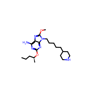 CCC[C@H](C)Oc1nc(N)c2nc(OC)n(CCCCCC3CCNCC3)c2n1